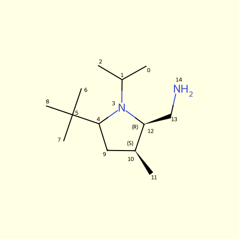 CC(C)N1C(C(C)(C)C)C[C@H](C)[C@@H]1CN